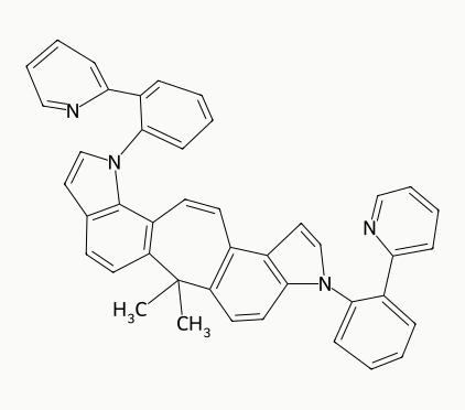 CC1(C)c2ccc3c(ccn3-c3ccccc3-c3ccccn3)c2C=Cc2c1ccc1ccn(-c3ccccc3-c3ccccn3)c21